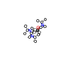 CC1(C)c2ccccc2N(c2cc(-c3ccccc3)cc(-c3ccccc3)c2)c2cc3c4ccccc4n(-c4cc(-c5ccccc5)cc(-c5cccc(-c6ccc7oc8cc9c(cc8c7c6)c6ccccc6n9-c6cc(-c7ccccc7)cc(-c7ccccc7)c6)c5)c4)c3cc21